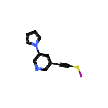 ISC#Cc1cncc(-n2cccc2)c1